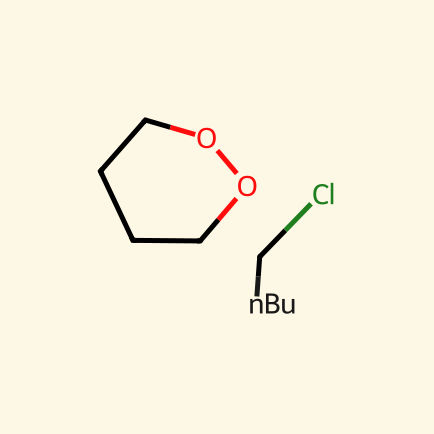 C1CCOOC1.CCCCCCl